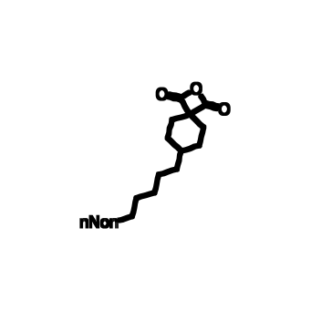 CCCCCCCCCCCCCCC1CCC2(CC1)C(=O)OC2=O